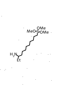 CCC(N)CCCCCCCCC[Si](OC)(OC)OC